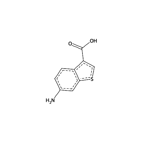 Nc1ccc2c(C(=O)O)csc2c1